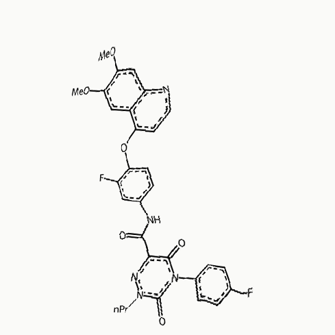 CCCn1nc(C(=O)Nc2ccc(Oc3ccnc4cc(OC)c(OC)cc34)c(F)c2)c(=O)n(-c2ccc(F)cc2)c1=O